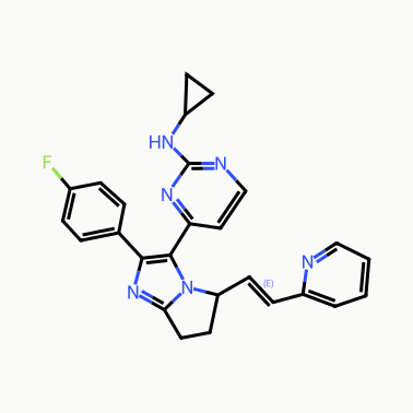 Fc1ccc(-c2nc3n(c2-c2ccnc(NC4CC4)n2)C(/C=C/c2ccccn2)CC3)cc1